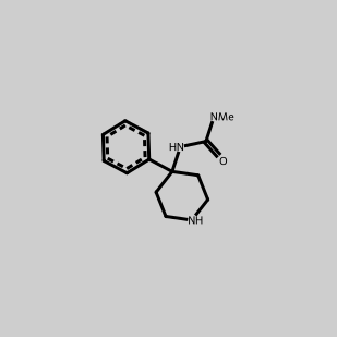 CNC(=O)NC1(c2ccccc2)CCNCC1